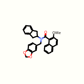 COc1ccc2ccccc2c1C(=O)N(Cc1ccc2c(c1)OCO2)C1Cc2ccccc2C1